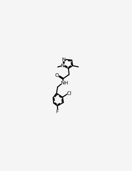 Cc1cnn(C)c1CC(=O)NCc1ccc(F)cc1Cl